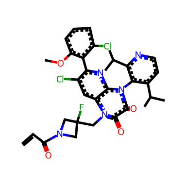 C=CC(=O)N1CC(F)(Cn2c(=O)c(=O)n(-c3c(C(C)C)ccnc3C(C)C)c3nc(-c4c(Cl)cccc4OC)c(Cl)cc32)C1